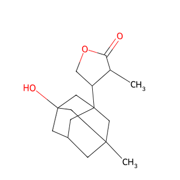 CC1C(=O)OCC1C12CC3CC(C)(CC(O)(C3)C1)C2